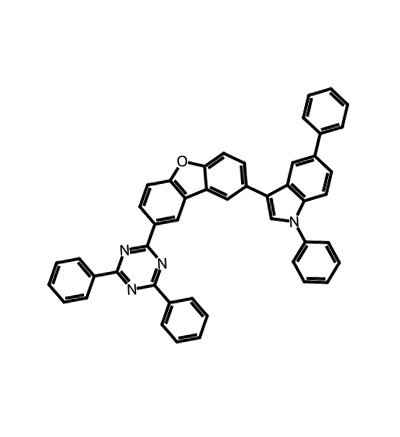 c1ccc(-c2ccc3c(c2)c(-c2ccc4oc5ccc(-c6nc(-c7ccccc7)nc(-c7ccccc7)n6)cc5c4c2)cn3-c2ccccc2)cc1